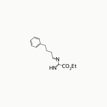 CCOC(=O)C(=N)/N=C/CCCc1ccccc1